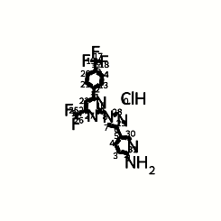 Cl.Nc1ccc(-c2cn(-c3nc(-c4ccc(C(F)(F)F)cc4)cc(C(F)F)n3)cn2)cn1